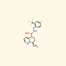 C=C1CCC(C(O)NCc2ccc(F)cc2C(F)(F)F)c2cccnc21